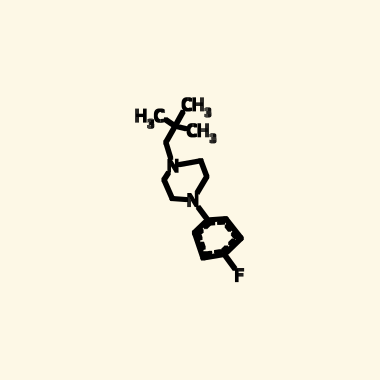 CC(C)(C)CN1CCN(c2ccc(F)cc2)CC1